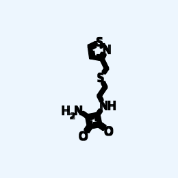 Nc1c(NCCSCc2ccsn2)c(=O)c1=O